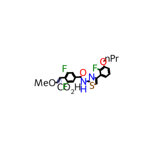 CCCOc1cccc(-c2csc(NC(=O)c3cc(F)c(/C=C(/OC)C(=O)O)c(F)c3)n2)c1F